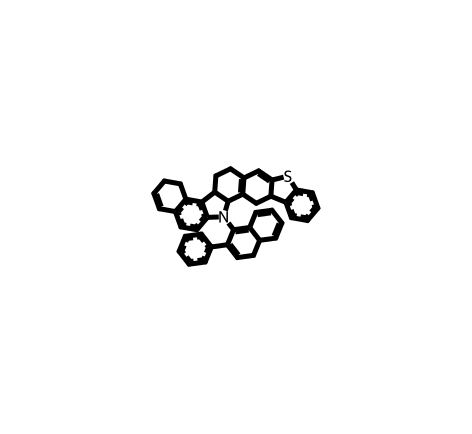 C1=CC2=C(N3c4ccc5c(c4C4CCC6=C(CC7C(=C6)Sc6ccccc67)C43)CCC=C5)C(c3ccccc3)=CCC2C=C1